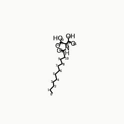 CCCCCCCCCCCC(=O)NC(C(=O)O)C(=O)O